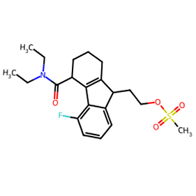 CCN(CC)C(=O)C1CCCC2=C1c1c(F)cccc1C2CCOS(C)(=O)=O